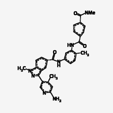 CNC(=O)c1ccc(C(=O)Nc2cc(NC(=O)c3ccc4c(c3)c(-c3cnc(N)cc3C)nn4C)ccc2C)cc1